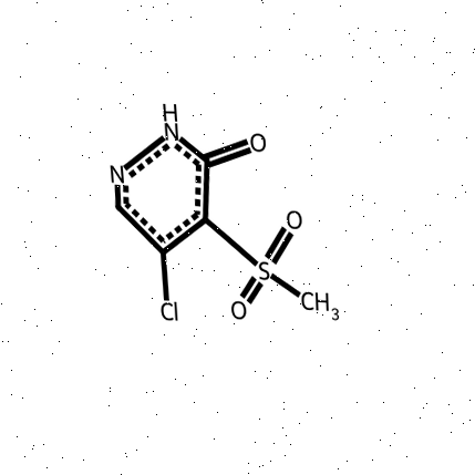 CS(=O)(=O)c1c(Cl)cn[nH]c1=O